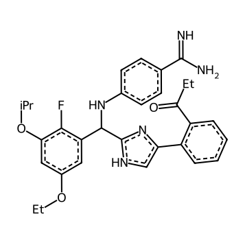 CCOc1cc(OC(C)C)c(F)c(C(Nc2ccc(C(=N)N)cc2)c2nc(-c3ccccc3C(=O)CC)c[nH]2)c1